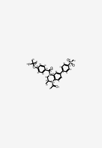 CC(=O)N1c2ccc(-c3ccc(S(C)(=O)=O)cc3)cc2N(C(=O)c2ccc(OC(C)(F)F)cc2)CC1C